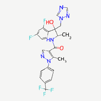 Cc1c(C(=O)NC(C)C(O)(Cn2cncn2)c2ccc(F)cc2F)cnn1-c1ccc(C(F)(F)F)cc1